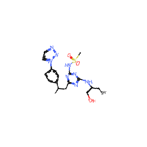 CC(C)CC(CO)Nc1nc(CC(C)c2ccc(-n3ccnn3)cc2)nc(NS(C)(=O)=O)n1